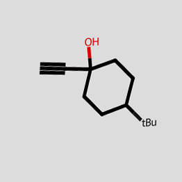 C#CC1(O)CCC(C(C)(C)C)CC1